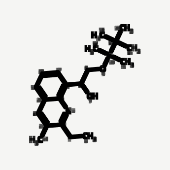 CCc1nc2c(C(O)CO[Si](C)(C)C(C)(C)C)cccc2cc1C